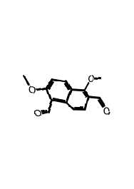 COc1ccc2c(OC)c(C=O)ccc2c1C=O